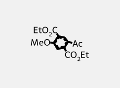 CCOC(=O)c1cc(C(C)=O)c(C(=O)OCC)cc1OC